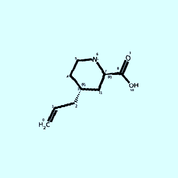 C=CC[C@@H]1CC[N][C@@H](C(=O)O)C1